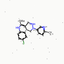 CSC(Nc1ccc(F)cc1)=C1CCN(c2ccc(C(F)(F)F)nc2)NC1